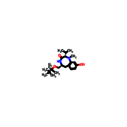 CC(C)[C@H]1C(=O)N[C@H](CO[Si](C)(C)C(C)(C)C)Cc2ccc(O)cc2N1C